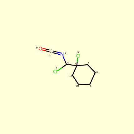 O=C=NC(Cl)C1(Cl)CCCCC1